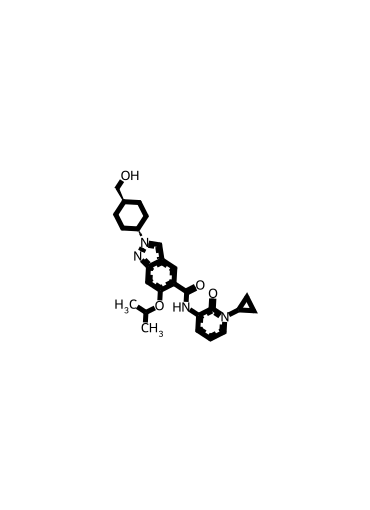 CC(C)Oc1cc2nn([C@H]3CC[C@H](CO)CC3)cc2cc1C(=O)Nc1cccn(C2CC2)c1=O